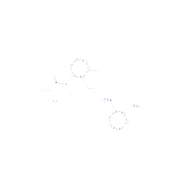 C=Cc1ccccc1/C(C)=N/OCc1c(C)cccc1C(NOC)C(=O)NC